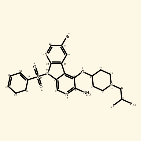 Nc1ncc2c(c1OC1CCN(CC(F)I)CC1)c1cc(Br)cnc1n2S(=O)(=O)C1=CC=CCC1